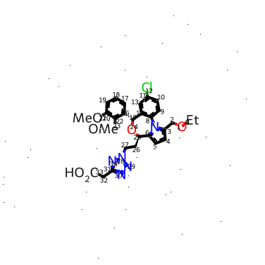 CCOCc1ccc2n1-c1ccc(Cl)cc1[C@@H](c1cccc(OC)c1OC)O[C@@H]2CCn1nnc(CC(=O)O)n1